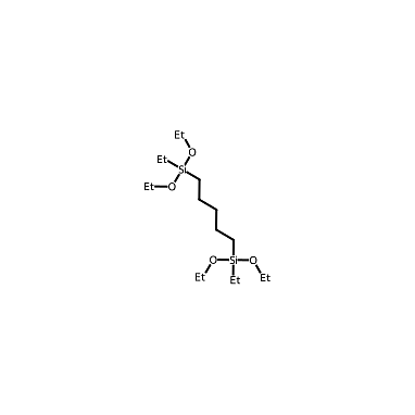 CCO[Si](CC)(CCCCC[Si](CC)(OCC)OCC)OCC